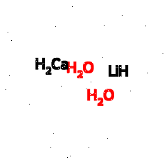 O.O.[CaH2].[LiH]